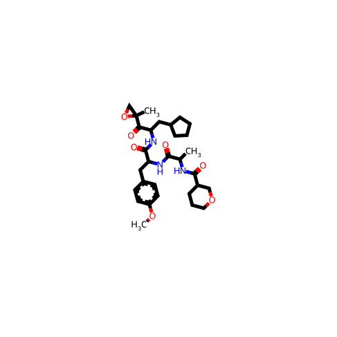 COc1ccc(CC(NC(=O)C(C)NC(=O)C2CCCOC2)C(=O)NC(CC2CCCC2)C(=O)C2(C)CO2)cc1